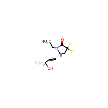 B[C@@H](O)/C=C/[C@H]1CC(F)(F)C(=O)N1CC(=O)O